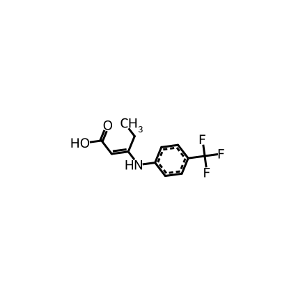 CC/C(=C\C(=O)O)Nc1ccc(C(F)(F)F)cc1